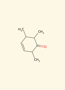 CC1C=CC(C)C(C)C1=O